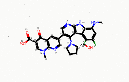 CNc1cc(F)c(F)c2c1[nH]c1ncc(-c3cnc4c(c3)c(=O)c(C(=O)O)cn4C)c(N3CCC[C@H]3CO)c12